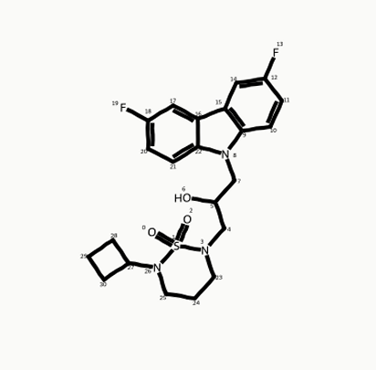 O=S1(=O)N(CC(O)Cn2c3ccc(F)cc3c3cc(F)ccc32)CCCN1C1CCC1